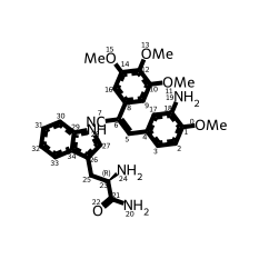 COc1ccc(C=C(C#N)c2cc(OC)c(OC)c(OC)c2)cc1N.NC(=O)[C@H](N)Cc1c[nH]c2ccccc12